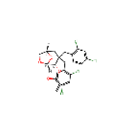 C=CC(=O)O[C@@H]1[C@@H]2OC[C@H](CC1(Cc1ccc(Cl)cc1Cl)Cc1ccc(Cl)cc1Cl)O2